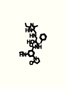 CCNc1cc(C(=O)N[C@@H](Cc2ccccc2)[C@H](O)CNCc2[nH]c(CC)nc2C)cc(N2CCCC2=O)c1